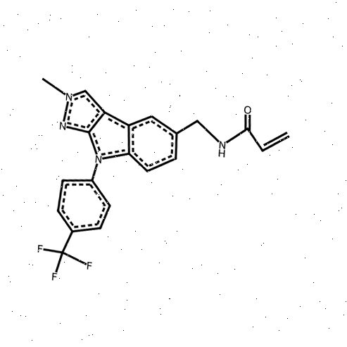 C=CC(=O)NCc1ccc2c(c1)c1cn(C)nc1n2-c1ccc(C(F)(F)F)cc1